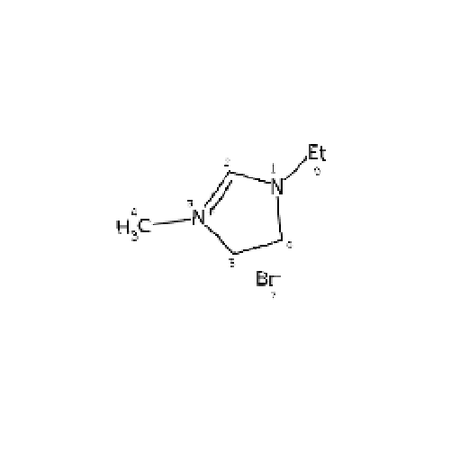 CCN1C=[N+](C)CC1.[Br-]